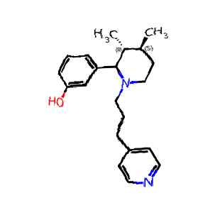 C[C@H]1CCN(CCCc2ccncc2)C(c2cccc(O)c2)[C@@H]1C